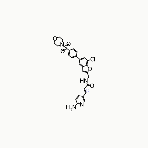 Nc1ccc(/C=C/C(=O)NCc2cc3cc(-c4ccc(S(=O)(=O)N5CCOCC5)cc4)cc(Cl)c3o2)cn1